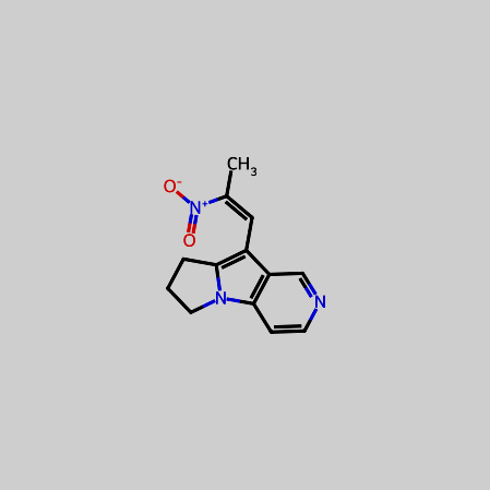 CC(=Cc1c2n(c3ccncc13)CCC2)[N+](=O)[O-]